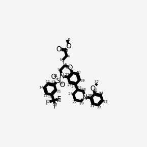 COC(=O)CC[C@H]1CN(S(=O)(=O)c2cccc(C(F)(F)F)c2)c2cc(C3CCCN(c4ccccc4OC)C3)ccc2O1